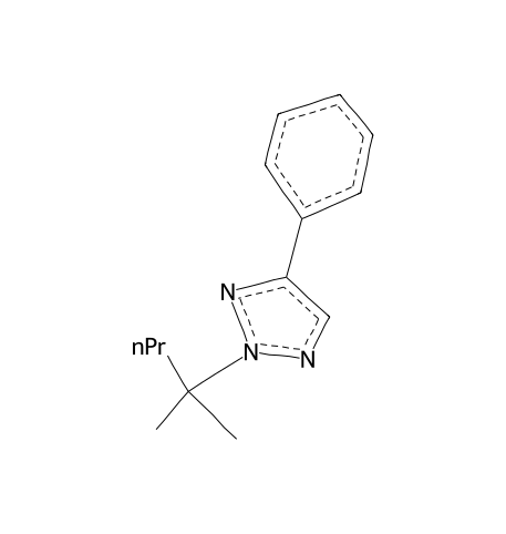 CCCC(C)(C)n1ncc(-c2ccccc2)n1